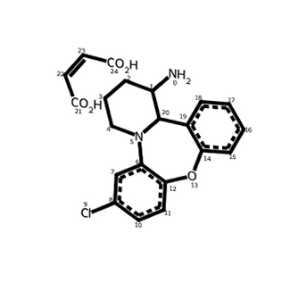 NC1CCCN2c3cc(Cl)ccc3Oc3ccccc3C12.O=C(O)/C=C\C(=O)O